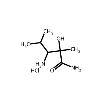 CC(C)C(N)C(C)(O)C(N)=O.Cl